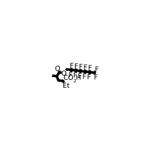 CCC(CC(C)C(=O)OCC(F)(F)C(F)(F)C(F)(F)C(F)(F)C(F)(F)C(F)F)C(=O)O